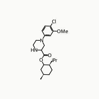 COc1cc(N2CCNC(C(=O)OC3C[C@H](C)CC[C@@H]3C(C)C)C2)ccc1Cl